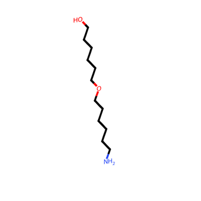 NCCCCCCOCCCCCCO